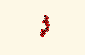 Cc1cccc(N(c2ccc3c(c2)oc2c(-c4ccccc4)cccc23)c2cc3sc4cc(-c5ccc(-c6cccc7c6oc6cc(N(c8ccccc8C)c8cc9sc%10ccc%11ccccc%11c%10c9c9ccccc89)ccc67)cc5)c5ccccc5c4c3c3ccccc23)c1